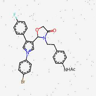 CC(=O)Nc1ccc(CCN2C(=O)COC2c2cn(-c3ccc(Br)cc3)cc2-c2ccc(F)cc2)cc1